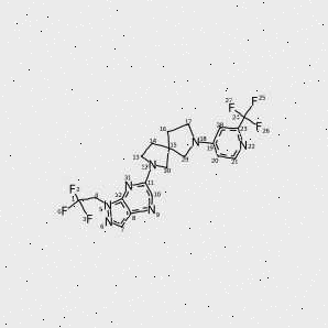 FC(F)(F)Cn1ncc2ncc(N3CCC4(CCN(c5ccnc(C(F)(F)F)c5)C4)C3)nc21